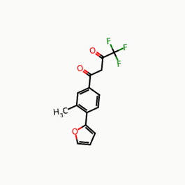 Cc1cc(C(=O)CC(=O)C(F)(F)F)ccc1-c1ccco1